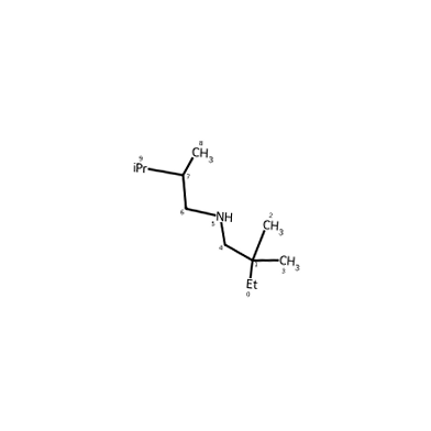 [CH2]CC(C)(C)CNCC(C)C(C)C